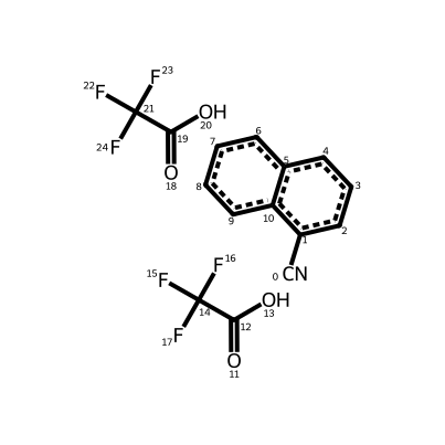 N#Cc1cccc2ccccc12.O=C(O)C(F)(F)F.O=C(O)C(F)(F)F